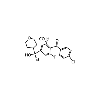 CC[C@](O)(c1cc(F)c(C(=O)c2ccc(Cl)cc2)c(C(=O)O)c1)C1CCOCC1